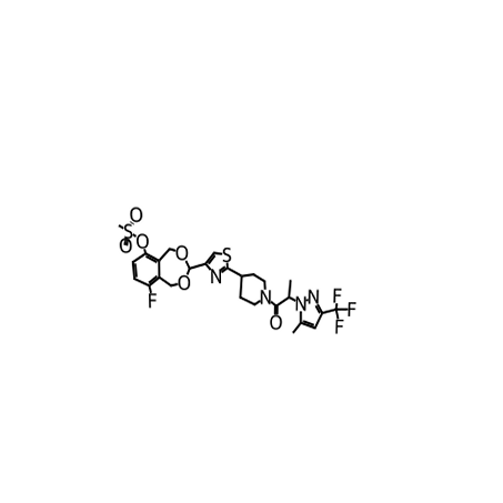 Cc1cc(C(F)(F)F)nn1C(C)C(=O)N1CCC(c2nc(C3OCc4c(F)ccc(OS(C)(=O)=O)c4CO3)cs2)CC1